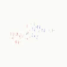 CC1CCCC1Nc1nc(Cl)nc2c1cnn2[C@@H]1O[C@H](CS(=O)(=O)C(F)(CO)P(=O)(O)O)[C@@H](O)[C@H]1O